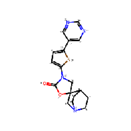 O=C1O[C@]2(CN3CCC2CC3)CN1c1ccc(-c2cncnc2)s1